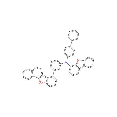 c1ccc(-c2ccc(N(c3cccc(-c4cccc5oc6c7ccccc7ccc6c45)c3)c3cccc4c3oc3ccccc34)cc2)cc1